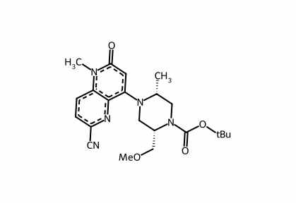 COC[C@@H]1CN(c2cc(=O)n(C)c3ccc(C#N)nc23)[C@H](C)CN1C(=O)OC(C)(C)C